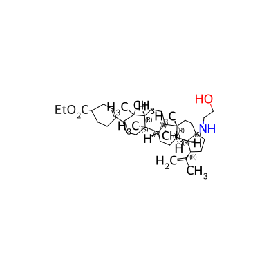 C=C(C)[C@@H]1CC[C@]2(NCCO)CC[C@]3(C)[C@H](CC[C@@H]4[C@@]5(C)CC=C(C6=CCC(C(=O)OCC)CC6)C(C)(C)[C@@H]5CC[C@]43C)[C@@H]12